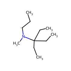 CC[C]N(C)C(CC)(CC)CC